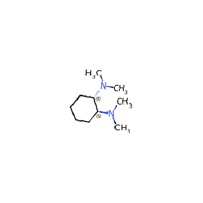 CN(C)[C@H]1CCCC[C@@H]1N(C)C